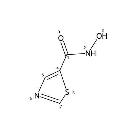 O=C(NO)c1cncs1